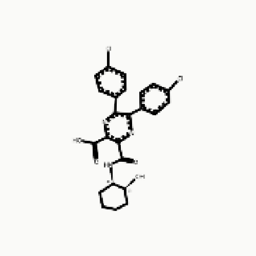 O=C(O)c1nc(-c2ccc(Cl)cc2)c(-c2ccc(Cl)cc2)nc1C(=O)N[C@@H]1CCCC[C@@H]1O